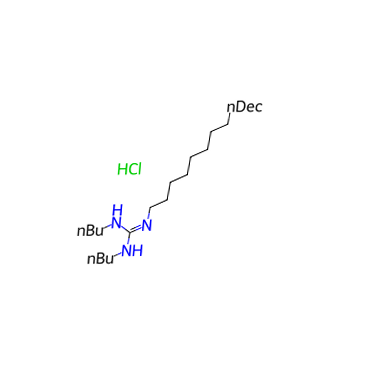 CCCCCCCCCCCCCCCCCCN=C(NCCCC)NCCCC.Cl